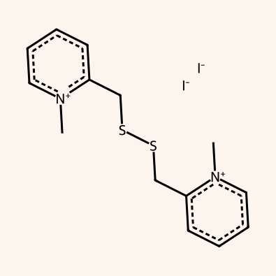 C[n+]1ccccc1CSSCc1cccc[n+]1C.[I-].[I-]